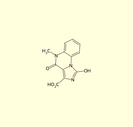 Cn1c(=O)c2c(C(=O)O)nc(O)n2c2ccccc21